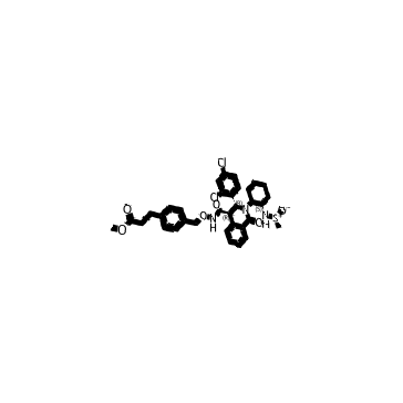 COC(=O)CCc1ccc(CONC(=O)[C@@H]2c3ccccc3C(=O)N(C3CCCC[C@@H]3N[S+](C)[O-])[C@H]2c2ccc(Cl)cc2Cl)cc1